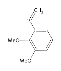 C=[C]c1cccc(OC)c1OC